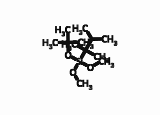 CO[Si](OC)(OC(C)(C)C)C(C)(C)C(C)C